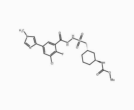 Cn1cnc(-c2cc(Cl)c(F)c(C(=O)NNS(=O)(=O)C[C@H]3CCC[C@H](NC(=O)OC(C)(C)C)C3)c2)c1